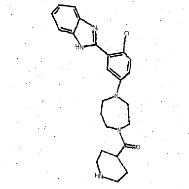 O=C(C1CCNCC1)N1CCCN(c2ccc(Cl)c(-c3nc4ccccc4[nH]3)c2)CC1